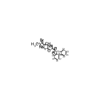 Cc1nn(Cc2nnc(S(=O)(=O)Cc3ccccc3-c3ccccc3)o2)c(C)c1Br